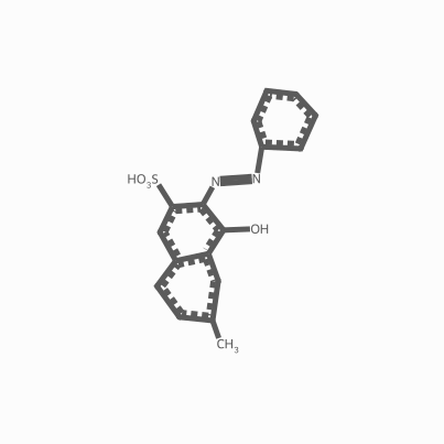 Cc1ccc2cc(S(=O)(=O)O)c(N=Nc3ccccc3)c(O)c2c1